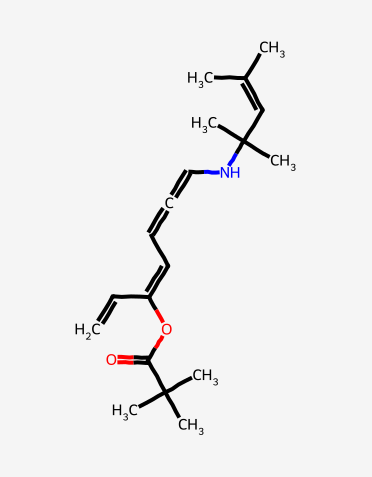 C=C/C(=C\C=C=CNC(C)(C)C=C(C)C)OC(=O)C(C)(C)C